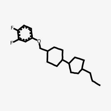 CCCC1CCC(C2CCC(COc3ccc(F)c(F)c3)CC2)CC1